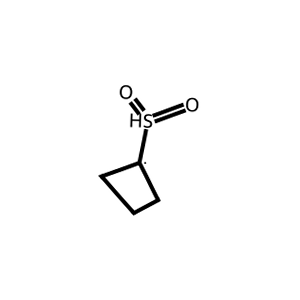 O=[SH](=O)[C]1CCC1